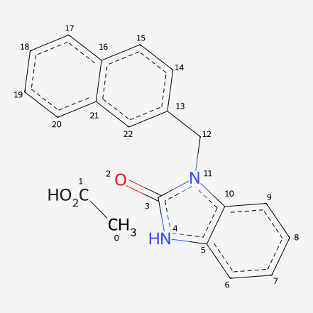 CC(=O)O.O=c1[nH]c2ccccc2n1Cc1ccc2ccccc2c1